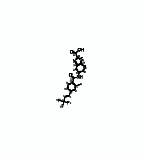 Cc1cc(C=CC(F)(F)F)ccc1C(=O)Nc1cnc2sc(C(=O)O)nc2c1